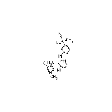 Cc1nn(C)c(Nc2ccnc(Nc3cccc(C(C)(C)C#N)c3)n2)c1C